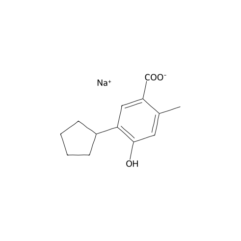 Cc1cc(O)c(C2CCCC2)cc1C(=O)[O-].[Na+]